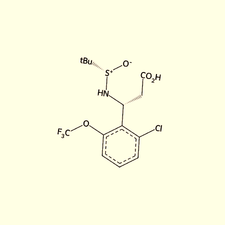 CC(C)(C)[S@+]([O-])N[C@H](CC(=O)O)c1c(Cl)cccc1OC(F)(F)F